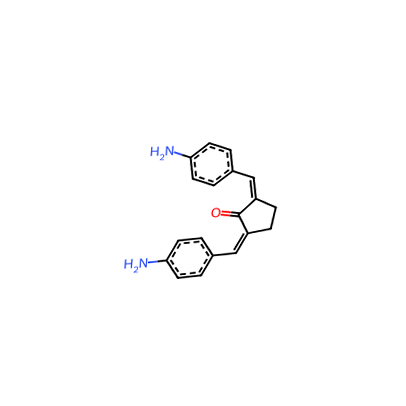 Nc1ccc(C=C2CCC(=Cc3ccc(N)cc3)C2=O)cc1